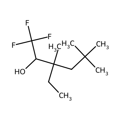 CCC(C)(CC(C)(C)C)C(O)C(F)(F)F